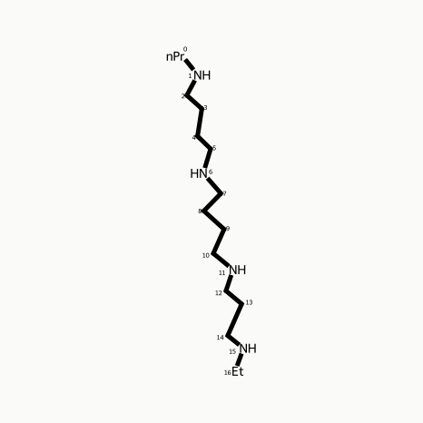 CCCNCCCCNCCCCNCCCNCC